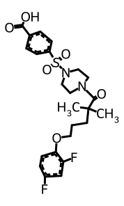 CC(C)(CCCOc1ccc(F)cc1F)C(=O)N1CCN(S(=O)(=O)c2ccc(C(=O)O)cc2)CC1